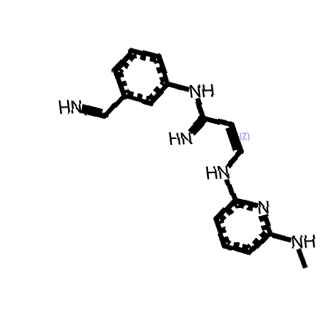 CNc1cccc(N/C=C\C(=N)Nc2cccc(C=N)c2)n1